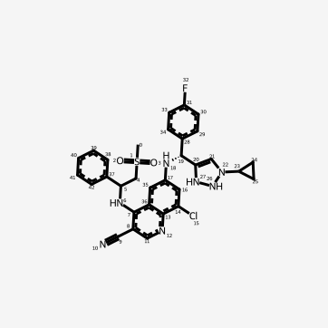 CS(=O)(=O)CC(Nc1c(C#N)cnc2c(Cl)cc(N[C@@H](C3=CN(C4CC4)NN3)c3ccc(F)cc3)cc12)c1ccccc1